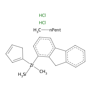 CCCCCC.Cl.Cl.[CH3][Zr]([SiH3])([C]1=CC=CC1)[c]1cccc2c1Cc1ccccc1-2